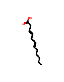 CCCCCC=CCC=CCC(=O)O